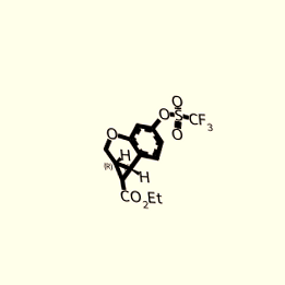 CCOC(=O)C1[C@H]2c3ccc(OS(=O)(=O)C(F)(F)F)cc3OC[C@@H]12